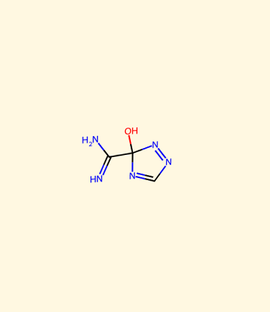 N=C(N)C1(O)N=CN=N1